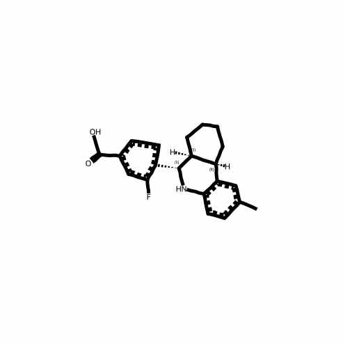 Cc1ccc2c(c1)[C@@H]1CCCC[C@@H]1[C@@H](c1ccc(C(=O)O)cc1F)N2